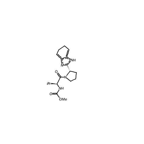 COC(=O)N[C@H](C(=O)N1CCC[C@H]1c1nc2c([nH]1)=CCCC=2)C(C)C